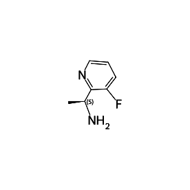 C[C@H](N)c1ncccc1F